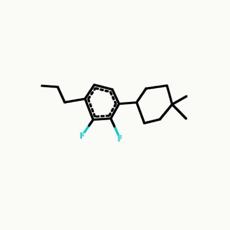 CCCc1ccc(C2CCC(C)(C)CC2)c(F)c1F